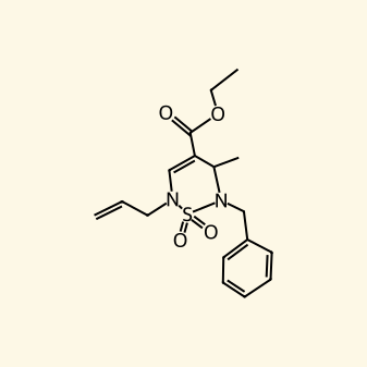 C=CCN1C=C(C(=O)OCC)C(C)N(Cc2ccccc2)S1(=O)=O